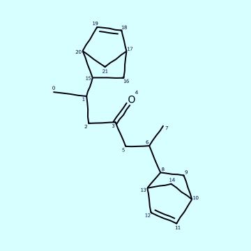 CC(CC(=O)CC(C)C1CC2C=CC1C2)C1CC2C=CC1C2